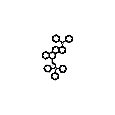 C(=C\[Si](c1ccccc1)(c1ccccc1)c1ccccc1)/c1cc2c3cccc(N(c4ccccc4)c4ccccc4)c3ccc2c2ccccc12